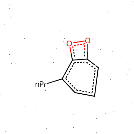 CCCc1cccc2ooc12